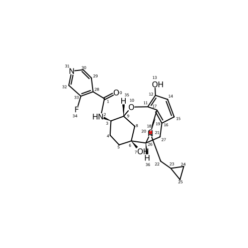 O=C(N[C@@H]1CC[C@]2(O)C[C@H]1Oc1c(O)ccc3c1CCCN(CC1CC1)[C@@H]2C3)c1ccncc1F